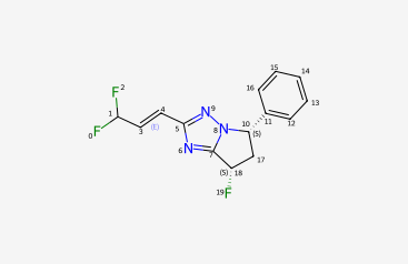 FC(F)/C=C/c1nc2n(n1)[C@H](c1ccccc1)C[C@@H]2F